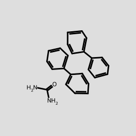 NC(N)=O.c1ccc(-c2ccccc2)cc1.c1ccc(-c2ccccc2)cc1